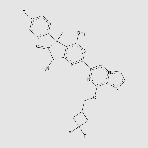 CC1(c2ccc(F)cn2)C(=O)N(N)c2nc(-c3cn4ccnc4c(OCC4CC(F)(F)C4)n3)nc(N)c21